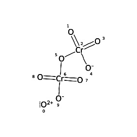 [O+2].[O]=[Cr](=[O])([O-])[O][Cr](=[O])(=[O])[O-]